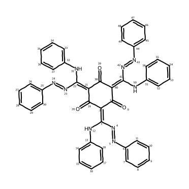 O=C1C(=C(N=Nc2ccccc2)Nc2ccccc2)C(=O)C(=C(N=Nc2ccccc2)Nc2ccccc2)C(=O)C1=C(N=Nc1ccccc1)Nc1ccccc1